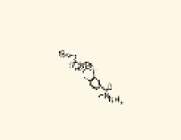 C[C@@H]1[C@H]2Cc3ccc(C(=O)NN)cc3[C@]1(C)CCN2C(=O)OC(C)(C)C